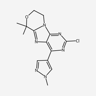 Cn1cc(-c2nc(Cl)nc3c2nc2n3CCOC2(C)C)cn1